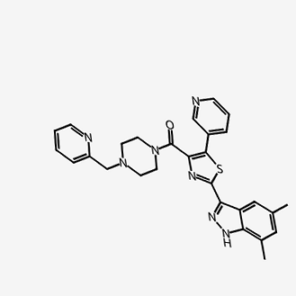 Cc1cc(C)c2[nH]nc(-c3nc(C(=O)N4CCN(Cc5ccccn5)CC4)c(-c4cccnc4)s3)c2c1